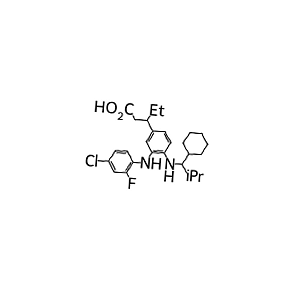 CCC(CC(=O)O)c1ccc(NC(C(C)C)C2CCCCC2)c(Nc2ccc(Cl)cc2F)c1